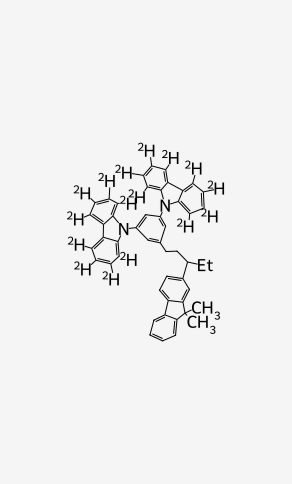 [2H]c1c([2H])c([2H])c2c(c1[2H])c1c([2H])c([2H])c([2H])c([2H])c1n2-c1cc(CCC(CC)c2ccc3c(c2)C(C)(C)c2ccccc2-3)cc(-n2c3c([2H])c([2H])c([2H])c([2H])c3c3c([2H])c([2H])c([2H])c([2H])c32)c1